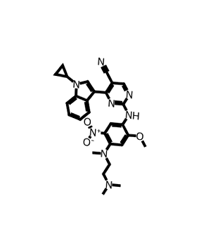 COc1cc(N(C)CCN(C)C)c([N+](=O)[O-])cc1Nc1ncc(C#N)c(-c2cn(C3CC3)c3ccccc23)n1